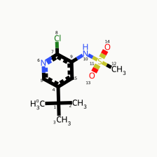 CC(C)(C)c1cnc(Cl)c(NS(C)(=O)=O)c1